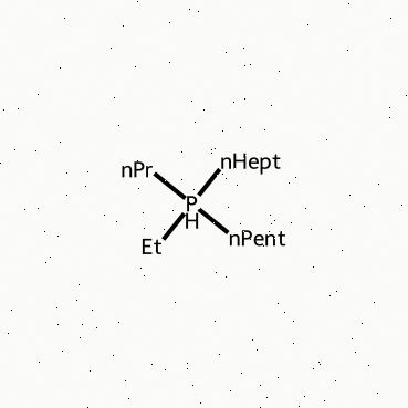 CCCCCCC[PH](CC)(CCC)CCCCC